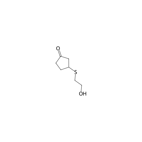 O=C1CCC(SCCO)C1